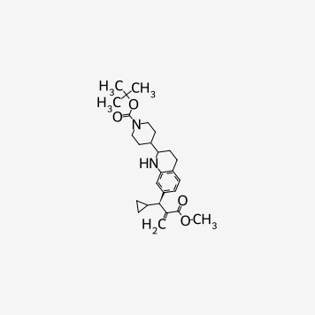 C=C(C(=O)OC)[C@H](c1ccc2c(c1)NC(C1CCN(C(=O)OC(C)(C)C)CC1)CC2)C1CC1